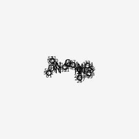 c1ccc(Oc2cnc(-c3ccc4c(c3)oc3ccc(-c5nc(-c6ccccc6)nc(-c6cccc7sc8ccccc8c67)n5)cc34)nc2-c2ccccc2)cc1